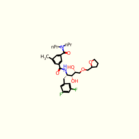 CCCN(CCC)C(=O)c1cc(C)cc(C(=O)N[C@@H](Cc2cc(F)cc(F)c2)[C@@H](O)[C@H](O)COCC2CCCO2)c1